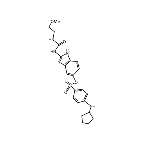 COCCNC(=O)Nc1nc2cc(OS(=O)(=O)c3ccc(NC4CCCC4)cc3)ccc2[nH]1